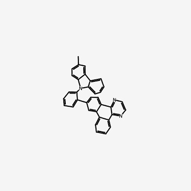 Cc1ccc2c(c1)c1ccccc1n2-c1ccccc1-c1ccc2c(c1)c1ccccc1c1nccnc21